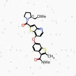 CNC(=O)c1c(C)sc2cc(Oc3ccnc4cc(C(=O)N5CCC[C@H]5COC)sc34)ccc12